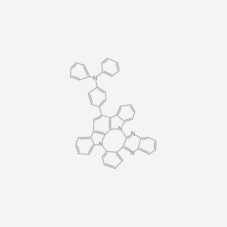 c1ccc(N(c2ccccc2)c2ccc(-c3cc4c5ccccc5n5c6ccccc6c6nc7ccccc7nc6n6c7ccccc7c3c6c45)cc2)cc1